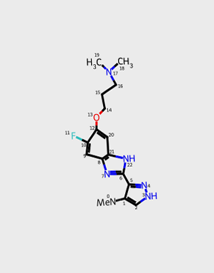 CNc1c[nH]nc1-c1nc2cc(F)c(OCCCN(C)C)cc2[nH]1